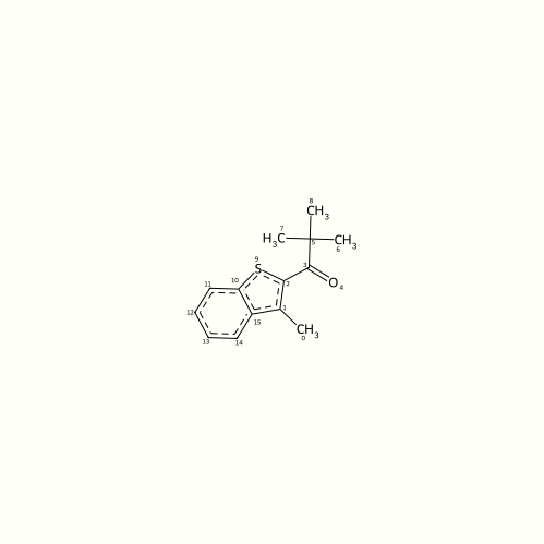 Cc1c(C(=O)C(C)(C)C)sc2ccccc12